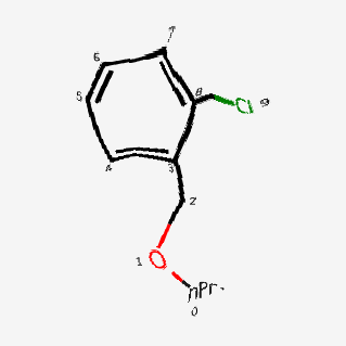 CC[CH]OCc1ccccc1Cl